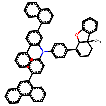 CC12CCC=C(c3ccc(N(c4ccc(-c5cc6ccccc6c6ccccc56)cc4)c4cc(-c5cccc6ccccc56)ccc4-c4ccccc4)cc3)C1Oc1ccccc12